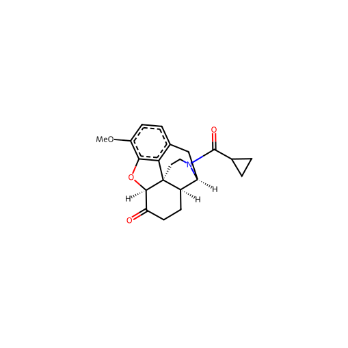 COc1ccc2c3c1O[C@@H]1C(=O)CC[C@@H]4[C@H](C2)N(C(=O)C2CC2)CC[C@@]314